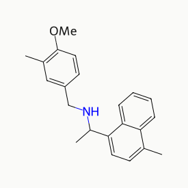 COc1ccc(CNC(C)c2ccc(C)c3ccccc23)cc1C